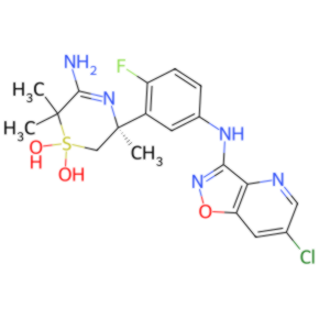 CC1(C)C(N)=N[C@@](C)(c2cc(Nc3noc4cc(Cl)cnc34)ccc2F)CS1(O)O